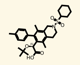 Cc1ccc(-c2c(C)c3c(c(C)c2[C@H](OC(C)(C)C)C(=O)O)CCN(S(=O)(=O)C2CCCCC2)C3)cc1